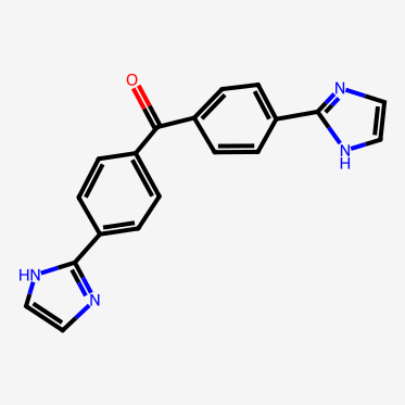 O=C(c1ccc(-c2ncc[nH]2)cc1)c1ccc(-c2ncc[nH]2)cc1